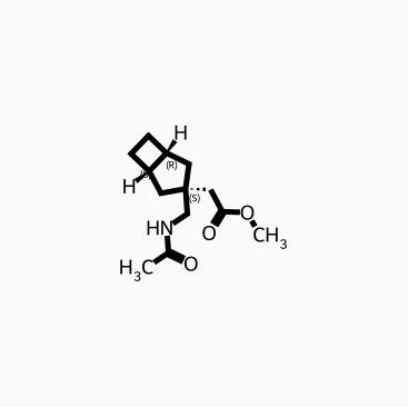 COC(=O)C[C@@]1(CNC(C)=O)C[C@H]2CC[C@H]2C1